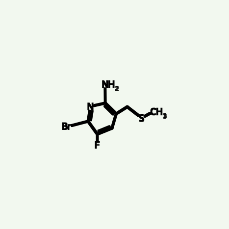 CSCc1cc(F)c(Br)nc1N